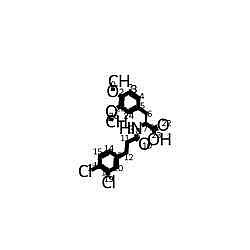 COc1ccc(C[C@H](NC(=O)CCc2ccc(Cl)c(Cl)c2)C(=O)O)cc1OC